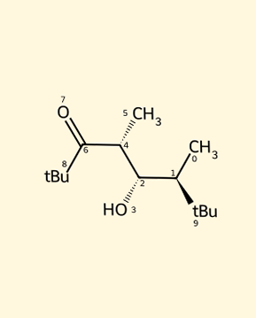 C[C@H]([C@H](O)[C@@H](C)C(=O)C(C)(C)C)C(C)(C)C